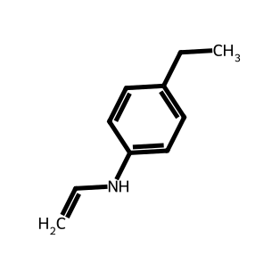 C=CNc1ccc(CC)cc1